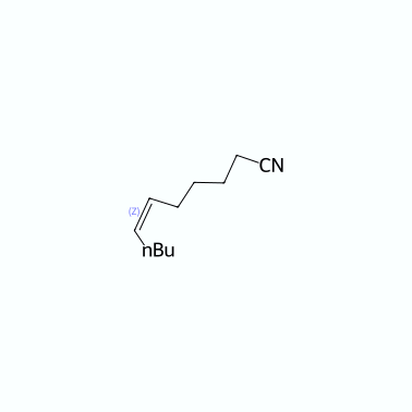 CCCC/C=C\CCCCC#N